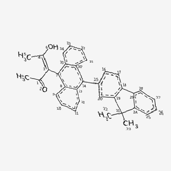 CC(=O)C(=C(C)O)c1c2ccccc2c(-c2ccc3c(c2)C(C)(C)c2ccccc2-3)c2ccccc12